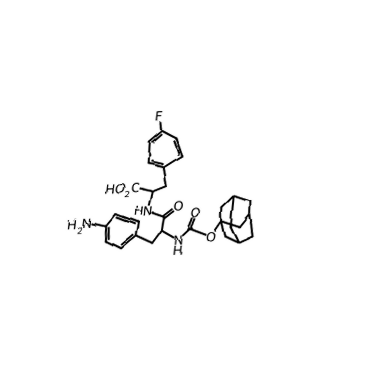 Nc1ccc(CC(NC(=O)OC23CC4CC(CC(C4)C2)C3)C(=O)NC(Cc2ccc(F)cc2)C(=O)O)cc1